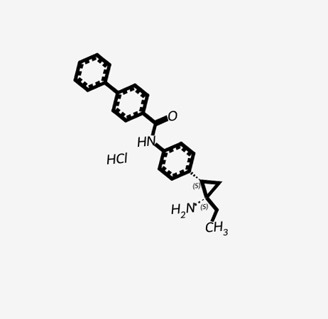 CC[C@]1(N)C[C@H]1c1ccc(NC(=O)c2ccc(-c3ccccc3)cc2)cc1.Cl